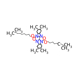 Cc1cc2nc(-c3nc4cc(C)c(C)cc4n3C(=O)OCCCCCCCC(C)C)n(C(=O)OCCCCCCCC(C)C)c2cc1C